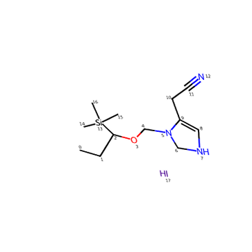 CCC(OCN1CNC=C1CC#N)[Si](C)(C)C.I